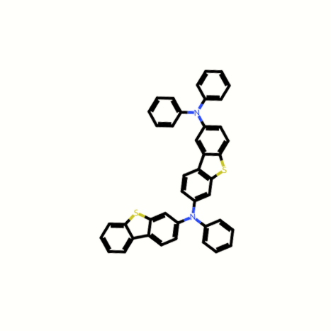 c1ccc(N(c2ccc3c(c2)sc2ccccc23)c2ccc3c(c2)sc2ccc(N(c4ccccc4)c4ccccc4)cc23)cc1